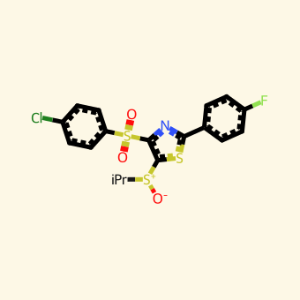 CC(C)[S+]([O-])c1sc(-c2ccc(F)cc2)nc1S(=O)(=O)c1ccc(Cl)cc1